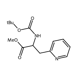 COC(=O)C(Cc1ccccn1)NC(=O)OC(C)(C)C